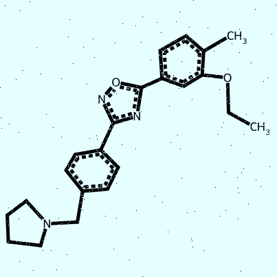 CCOc1cc(-c2nc(-c3ccc(CN4CCCC4)cc3)no2)ccc1C